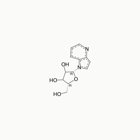 OC[C@H]1O[C@@H](n2ccc3ncccc32)C(O)C1O